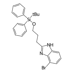 CC(C)(C)[Si](OCCCc1nc2c(Br)cccc2[nH]1)(c1ccccc1)c1ccccc1